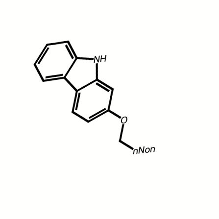 CCCCCCCCCCOc1ccc2c(c1)[nH]c1ccccc12